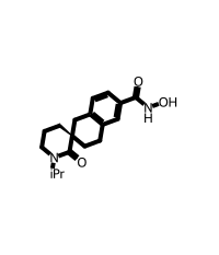 CC(C)N1CCC[C@@]2(CCc3cc(C(=O)NO)ccc3C2)C1=O